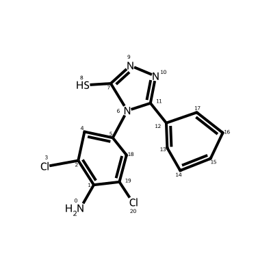 Nc1c(Cl)cc(-n2c(S)nnc2-c2ccccc2)cc1Cl